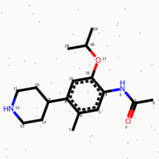 CC(=O)Nc1cc(C)c(C2CCNCC2)cc1OC(C)C